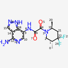 C[C@@H]1CN(C(=O)C(=O)Nc2cnc(N)c3cn[nH]c23)[C@@H](C)CC1(F)F